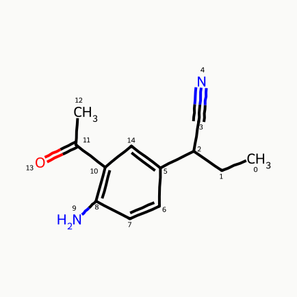 CCC(C#N)c1ccc(N)c(C(C)=O)c1